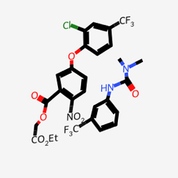 CCOC(=O)COC(=O)c1cc(Oc2ccc(C(F)(F)F)cc2Cl)ccc1[N+](=O)[O-].CN(C)C(=O)Nc1cccc(C(F)(F)F)c1